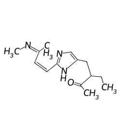 CCC(Cc1cnc(/C=C\C(C)=N/C)[nH]1)C(C)=O